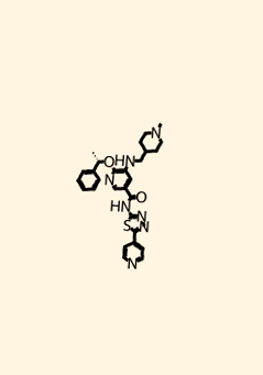 C[C@H](Oc1ncc(C(=O)Nc2nnc(-c3ccncc3)s2)cc1NCC1CCN(C)CC1)c1ccccc1